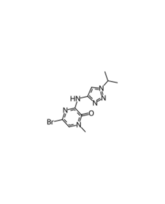 CC(C)n1cc(Nc2nc(Br)cn(C)c2=O)nn1